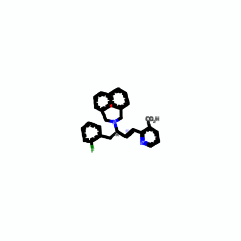 O=C(O)c1cccnc1/C=C/[C@@H](Cc1ccccc1F)N(Cc1ccccc1)Cc1ccccc1